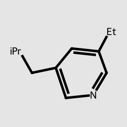 CCc1cncc(CC(C)C)c1